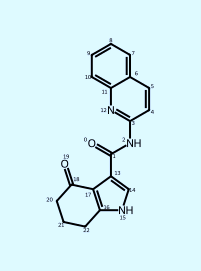 O=C(Nc1ccc2ccccc2n1)c1c[nH]c2c1C(=O)CCC2